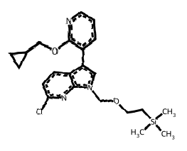 C[Si](C)(C)CCOCn1cc(-c2cccnc2OCC2CC2)c2ccc(Cl)nc21